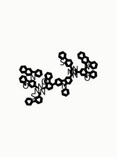 c1ccc(-n2c3ccc(-c4nc(-c5cc(-n6c7ccccc7c7cc8ccccc8cc76)c6c(c5)oc5ccccc56)nc(-c5ccc6c(c5)sc5ccccc56)n4)cc3c3ccc(-c4ccc(-c5nc(-c6cc(-n7c8ccccc8c8cc9ccccc9cc87)c7c(c6)oc6ccccc67)nc(-c6cccc7c6sc6ccccc67)n5)c5oc6ccccc6c45)cc32)cc1